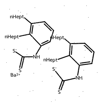 CCCCCCCc1cccc(NC(=S)[S-])c1CCCCCCC.CCCCCCCc1cccc(NC(=S)[S-])c1CCCCCCC.[Ba+2]